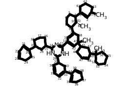 CC1C=C(C2CCCC(C3=CC(C4=NC(C5CCCC(C6=CC=CCC6)C5)NC(C5C=CC=C(C6=CCCC=C6)C5)N4)=CC(C)(C4CC=CC(C5(C)CCCCC5)C4)C3)[C@H]2C)CCC1